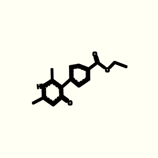 CCOC(=O)c1ccc(-c2c(C)[nH]c(C)cc2=O)cc1